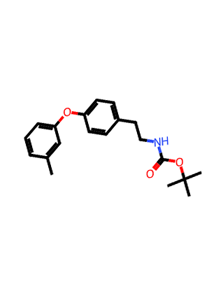 Cc1cccc(Oc2ccc(CCNC(=O)OC(C)(C)C)cc2)c1